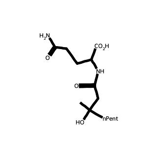 CCCCCC(C)(O)CC(=O)NC(CCC(N)=O)C(=O)O